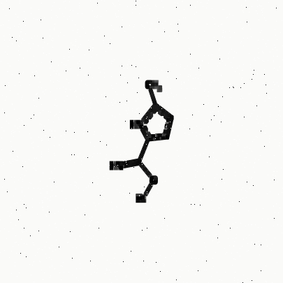 CCOC(=N)c1ccc(C)[nH]1